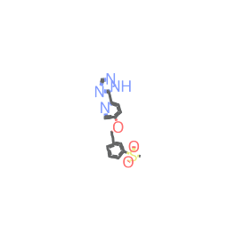 CS(=O)(=O)c1cccc(COc2ccc(-c3ncn[nH]3)nc2)c1